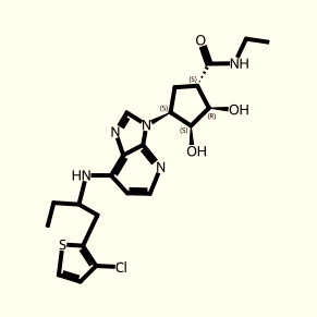 CCNC(=O)[C@H]1C[C@H](n2cnc3c(NC(CC)Cc4sccc4Cl)ccnc32)[C@H](O)[C@@H]1O